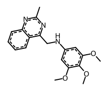 COc1cc(NCc2nc(C)nc3ccccc23)cc(OC)c1OC